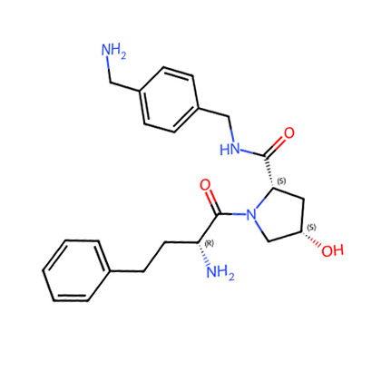 NCc1ccc(CNC(=O)[C@@H]2C[C@H](O)CN2C(=O)[C@H](N)CCc2ccccc2)cc1